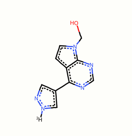 [2H]n1cc(-c2ncnc3c2ccn3CO)cn1